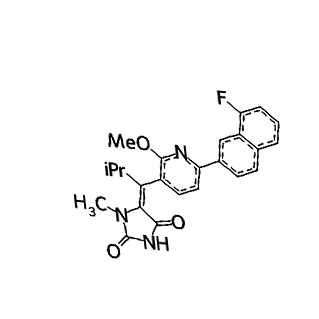 COc1nc(-c2ccc3cccc(F)c3c2)ccc1C(=C1C(=O)NC(=O)N1C)C(C)C